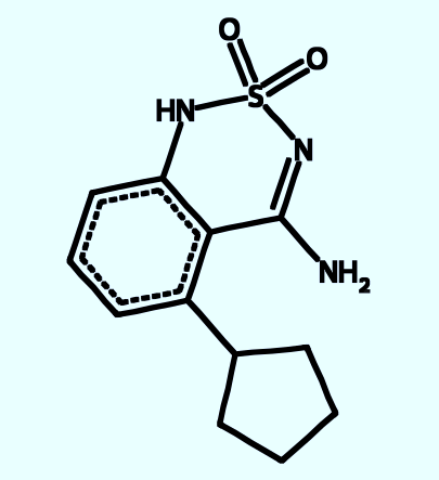 NC1=NS(=O)(=O)Nc2cccc(C3CCCC3)c21